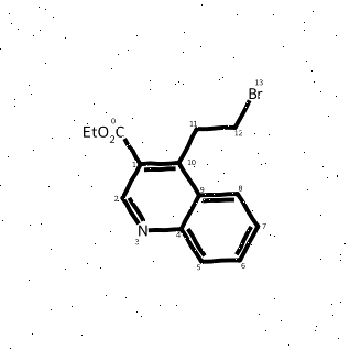 CCOC(=O)c1cnc2ccccc2c1CCBr